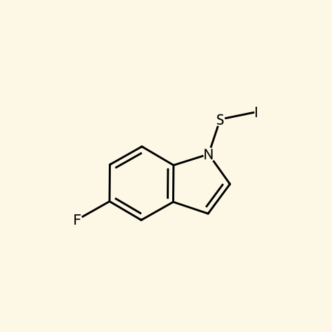 Fc1ccc2c(ccn2SI)c1